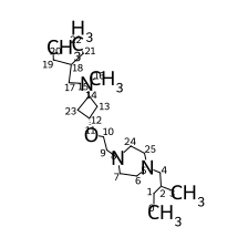 CCC(C)CN1CCN(CCO[C@H]2C[C@H](N(C)CC(CC)CC)C2)CC1